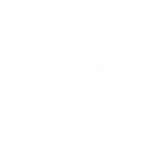 CCOC(=O)CCC(=O)C1CCC(COCc2ccccc2)CC1